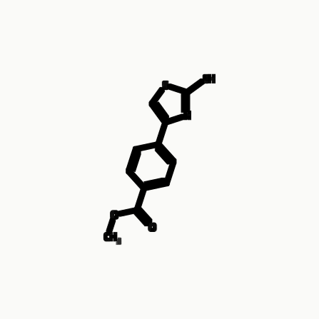 COC(=O)c1ccc(-c2csc(S)n2)cc1